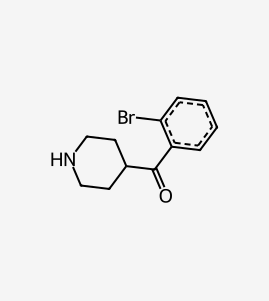 O=C(c1ccccc1Br)C1CCNCC1